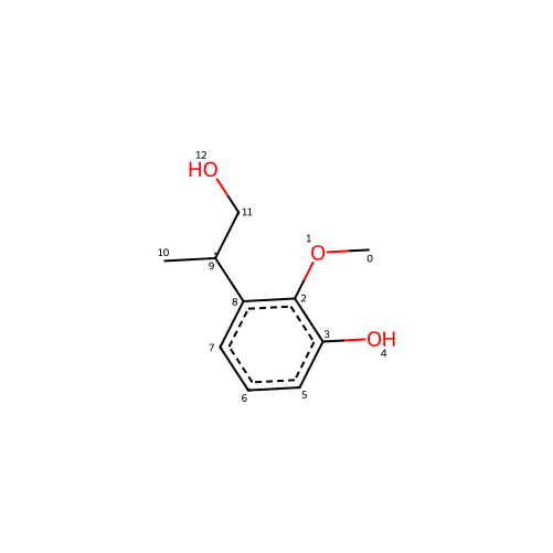 COc1c(O)cccc1[C](C)CO